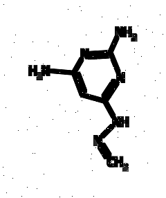 C=NNc1cc(N)nc(N)n1